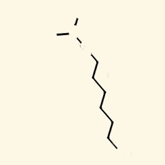 Br.C[SiH](C)[Mg][CH2]CCCCCC(C)(C)C